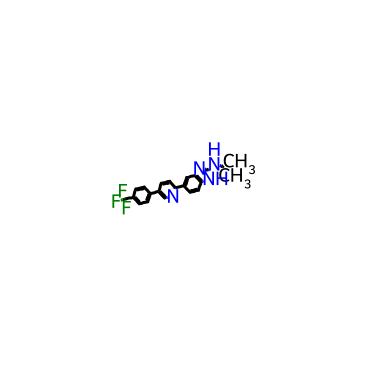 CC(C)Nc1nc2cc(-c3ccc(-c4ccc(C(F)(F)F)cc4)cn3)ccc2[nH]1